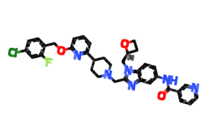 O=C(Nc1ccc2c(c1)nc(CN1CCC(c3cccc(OCc4ccc(Cl)cc4F)n3)CC1)n2C[C@@H]1CCO1)c1cccnc1